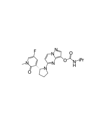 CC(C)NC(=O)Oc1cnn2ccc(N3CCC[C@@H]3c3cc(F)cn(C)c3=O)nc12